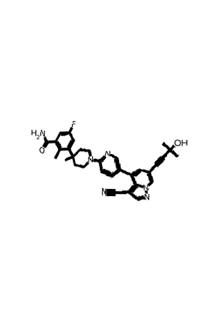 Cc1c(C(N)=O)cc(F)cc1C1(C)CCN(c2ccc(-c3cc(C#CC(C)(C)O)cn4ncc(C#N)c34)cn2)CC1